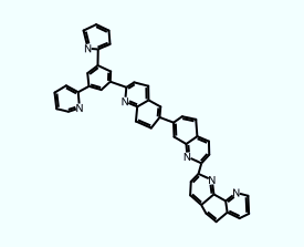 c1ccc(-c2cc(-c3ccccn3)cc(-c3ccc4cc(-c5ccc6ccc(-c7ccc8ccc9cccnc9c8n7)nc6c5)ccc4n3)c2)nc1